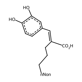 CCCCCCCCCCCCC(=Cc1ccc(O)c(O)c1)C(=O)O